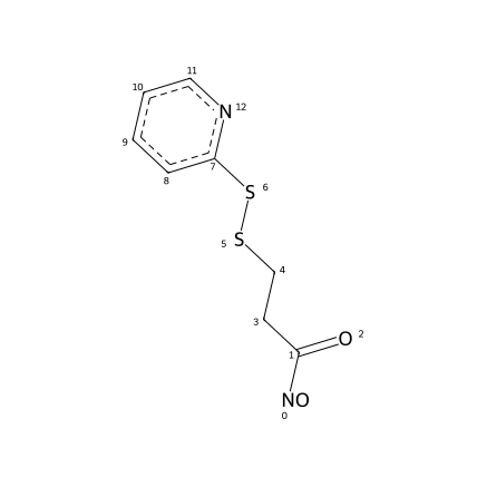 O=NC(=O)CCSSc1ccccn1